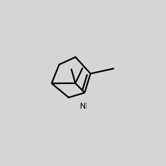 CC1=C2CC(CC1)C2(C)C.[N]